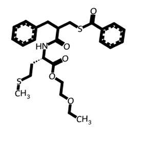 CCOCCOC(=O)[C@H](CCSC)NC(=O)C(CSC(=O)c1ccccc1)Cc1ccccc1